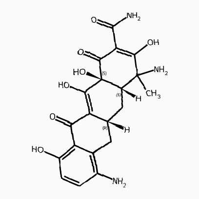 CC1(N)C(O)=C(C(N)=O)C(=O)[C@@]2(O)C(O)=C3C(=O)c4c(O)ccc(N)c4C[C@H]3C[C@@H]12